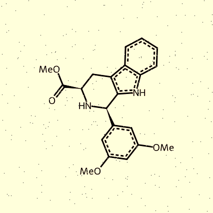 COC(=O)[C@H]1Cc2c([nH]c3ccccc23)[C@@H](c2cc(OC)cc(OC)c2)N1